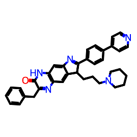 O=c1[nH]c2cc3c(cc2nc1Cc1ccccc1)C(CCCN1CCCCC1)C(c1ccc(-c2ccncc2)cc1)=N3